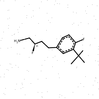 CC(C)(C)c1cc(CC[C@@H](F)CN)ccc1F